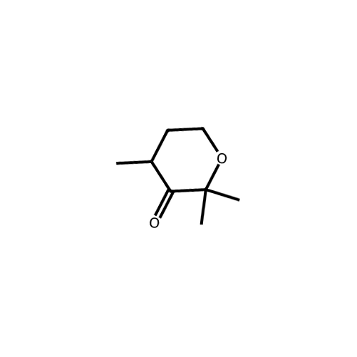 CC1CCOC(C)(C)C1=O